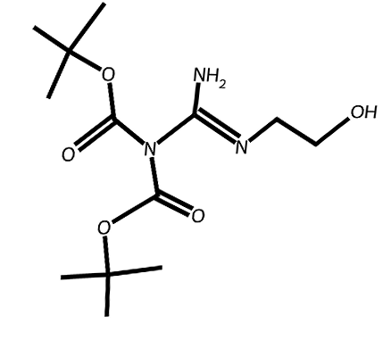 CC(C)(C)OC(=O)N(C(=O)OC(C)(C)C)C(N)=NCCO